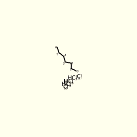 CCCCCCC.Cl.Cl.Cl.Cl.[C]